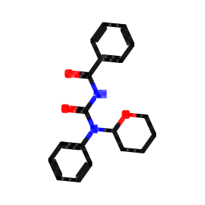 O=C(NC(=O)N(c1ccccc1)C1CCCCO1)c1ccccc1